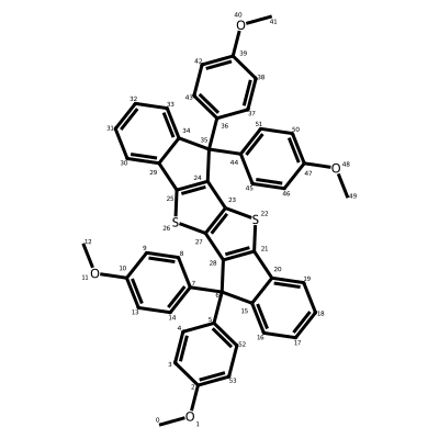 COc1ccc(C2(c3ccc(OC)cc3)c3ccccc3-c3sc4c5c(sc4c32)-c2ccccc2C5(c2ccc(OC)cc2)c2ccc(OC)cc2)cc1